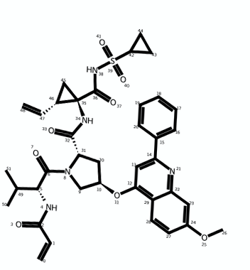 C=CC(=O)N[C@@H](C(=O)N1C[C@H](Oc2cc(-c3ccccc3)nc3cc(OC)ccc23)C[C@H]1C(=O)N[C@]1(C(=O)NS(=O)(=O)C2CC2)C[C@H]1C=C)C(C)C